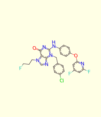 O=c1nc(Nc2ccc(Oc3cc(F)cc(F)n3)cc2)n(Cc2ccc(Cl)cc2)c2ncn(CCCF)c12